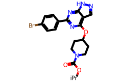 CC(C)OC(=O)N1CCC(Oc2nc(-c3ccc(Br)cc3)nc3[nH]ncc23)CC1